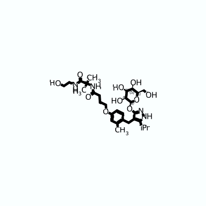 Cc1cc(OCCCC(=O)NC(C)(C)C(=O)NCCO)ccc1Cc1c(O[C@@H]2O[C@H](CO)[C@@H](O)[C@H](O)[C@H]2O)n[nH]c1C(C)C